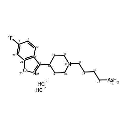 Cl.Cl.Fc1ccc2c(C3CCN(CCCC[AsH2])CC3)noc2c1